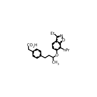 CCCc1c(OC(C)CCc2ccc(CC(=O)O)cc2)ccc2c(CC)noc12